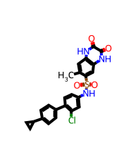 Cc1cc2[nH]c(=O)c(=O)[nH]c2cc1S(=O)(=O)Nc1ccc(-c2ccc(C3CC3)cc2)c(Cl)c1